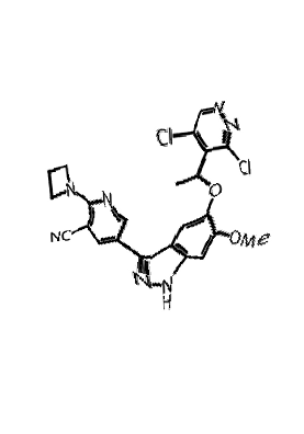 COc1cc2[nH]nc(-c3cnc(N4CCC4)c(C#N)c3)c2cc1OC(C)c1c(Cl)cnnc1Cl